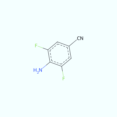 N#Cc1cc(F)c(N)c(F)c1